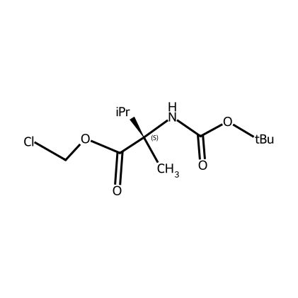 CC(C)[C@](C)(NC(=O)OC(C)(C)C)C(=O)OCCl